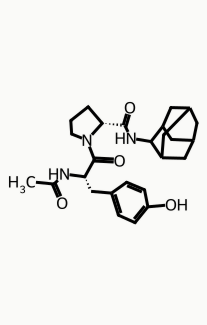 CC(=O)N[C@@H](Cc1ccc(O)cc1)C(=O)N1CCC[C@@H]1C(=O)NC1C2CC3CC(C2)CC1C3